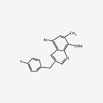 COc1c(C)cc(C(C)=O)c2cc(Cc3ccc(F)cc3)cnc12